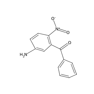 Nc1ccc([N+](=O)[O-])c(C(=O)c2ccccc2)c1